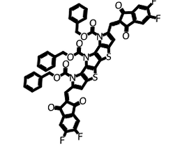 O=C1C(=Cc2cc3sc4c5sc6cc(C=C7C(=O)c8cc(F)c(F)cc8C7=O)n(C(=O)OCc7ccccc7)c6c5n(C(=O)OCc5ccccc5)c4c3n2C(=O)OCc2ccccc2)C(=O)c2cc(F)c(F)cc21